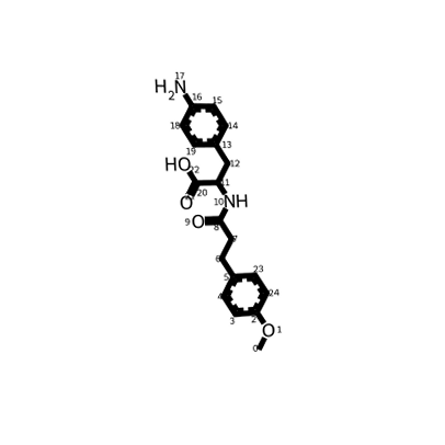 COc1ccc(CCC(=O)NC(Cc2ccc(N)cc2)C(=O)O)cc1